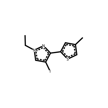 CCn1cc(I)c(-c2cc(C)cs2)n1